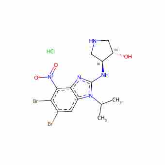 CC(C)n1c(N[C@H]2CNC[C@@H]2O)nc2c([N+](=O)[O-])c(Br)c(Br)cc21.Cl